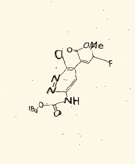 COC(=O)C(=CC(F)F)c1cc(NC(=O)OC(C)(C)C)nnc1Cl